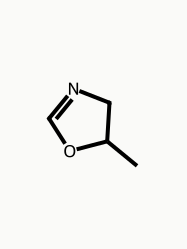 CC1CN=CO1